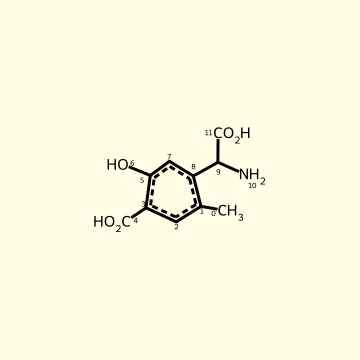 Cc1cc(C(=O)O)c(O)cc1C(N)C(=O)O